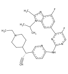 C#C[C@@H](c1ccc(Nc2ncc(F)c(-c3cc(F)c4nc(C)n(C(C)C)c4c3)n2)nc1)C1CCN(CC)CC1